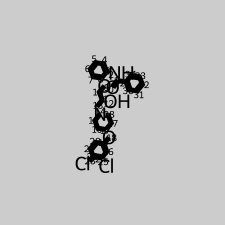 O=C(Nc1ccccc1OCC(O)CN1CCC(Oc2ccc(Cl)c(Cl)c2)CC1)c1ccccc1